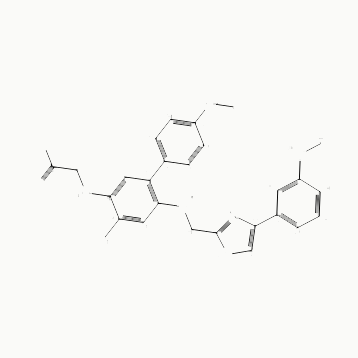 COc1ccc(-c2cc(OCC(=O)O)c(C)cc2OCc2nc(-c3cccc(OC)c3)cs2)cc1